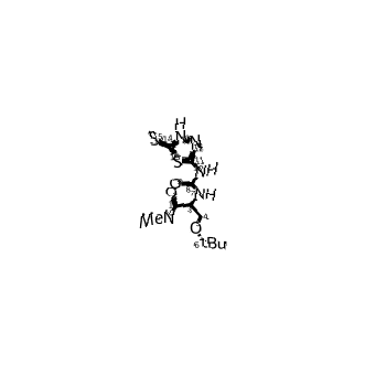 CNC(=O)C(COC(C)(C)C)NC(=O)Nc1n[nH]c(=S)s1